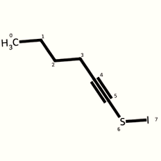 CCCCC#CSI